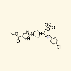 CCOC(=O)c1cnc(N2CCN(C(/C=C/c3ccc(Cl)cc3)COS(C)(=O)=O)CC2)nc1